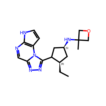 CC[C@@H]1C[C@H](NC2(C)COC2)CC1c1nnc2cnc3[nH]ccc3n12